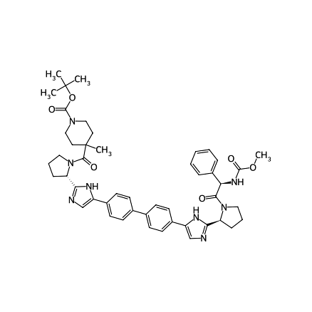 COC(=O)N[C@@H](C(=O)N1CCC[C@H]1c1ncc(-c2ccc(-c3ccc(-c4cnc([C@@H]5CCCN5C(=O)C5(C)CCN(C(=O)OC(C)(C)C)CC5)[nH]4)cc3)cc2)[nH]1)c1ccccc1